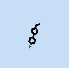 Fc1ccc(-c2ccc(CCI)cc2)cc1